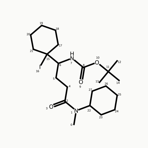 CN(C(=O)CCC(NC(=O)OC(C)(C)C)C1(I)CCCCC1)C1CCCCC1